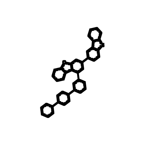 c1ccc(-c2ccc(-c3cccc(-c4cc(-c5ccc6sc7ccccc7c6c5)cc5oc6ccccc6c45)c3)cc2)cc1